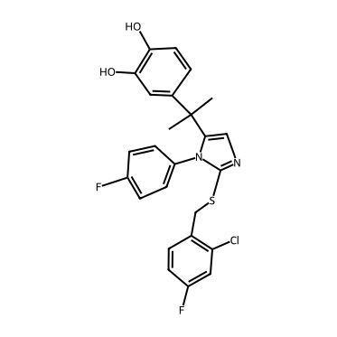 CC(C)(c1ccc(O)c(O)c1)c1cnc(SCc2ccc(F)cc2Cl)n1-c1ccc(F)cc1